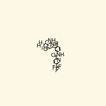 CC1(C)C(=N)NC(c2cc(NC(=O)c3ccc(C(F)(F)F)cn3)ccc2F)C[S+]1[O-]